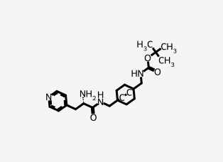 CC(C)(C)OC(=O)NCC12CCC(CNC(=O)[C@@H](N)Cc3ccncc3)(CC1)CC2